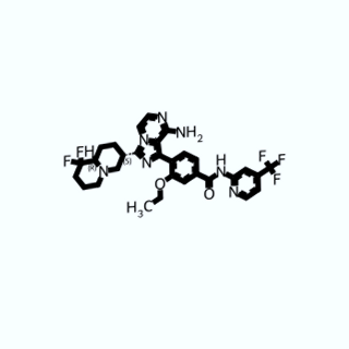 CCOc1cc(C(=O)Nc2cc(C(F)(F)F)ccn2)ccc1-c1nc([C@H]2CC[C@H]3N(CCCC3(F)F)C2)n2ccnc(N)c12